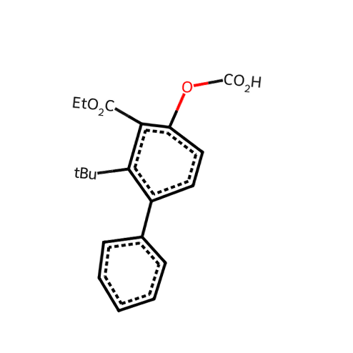 CCOC(=O)c1c(OC(=O)O)ccc(-c2ccccc2)c1C(C)(C)C